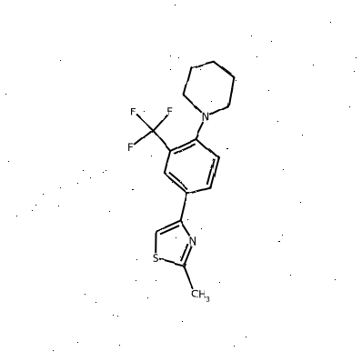 Cc1nc(-c2ccc(N3CCCCC3)c(C(F)(F)F)c2)cs1